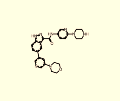 O=C(Nc1ccc(N2CCNCC2)nc1)c1n[nH]c2ccc(-c3cncc(N4CCOCC4)c3)cc12